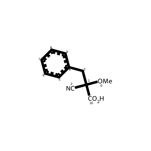 COC(C#N)(Cc1ccccc1)C(=O)O